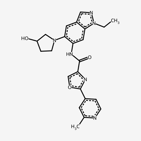 CCn1ncc2cc(N3CCC(O)C3)c(NC(=O)c3coc(-c4ccnc(C)c4)n3)cc21